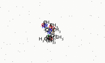 CCc1cc(O[Si](C)(C)C(C)(C)C)c(F)c(C(=Nc2ccc(-c3noc(C)n3)cc2)C(=NC(=O)OC)SC)c1